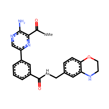 CNC(=O)c1nc(-c2cccc(C(=O)[AsH]Cc3ccc4c(c3)NCCO4)c2)cnc1N